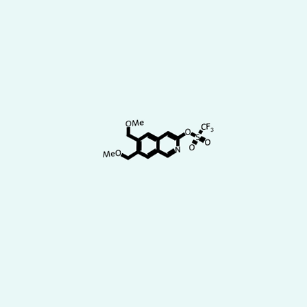 COCc1cc2cnc(OS(=O)(=O)C(F)(F)F)cc2cc1COC